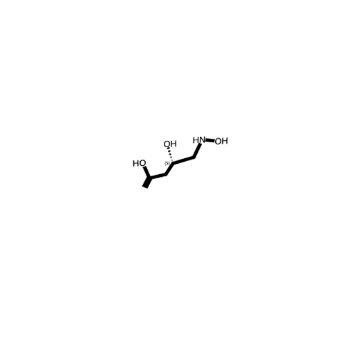 C=C(O)C[C@H](O)CNO